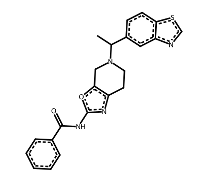 CC(c1ccc2scnc2c1)N1CCc2nc(NC(=O)c3ccccc3)oc2C1